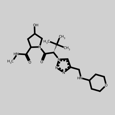 CNC(=O)C1CC(O)CN1C(=O)[C@@H](n1cc(CNC2CCOCC2)nn1)C(C)(C)C